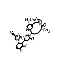 C[C@@H]1CCC[C@H](n2cnc(-c3c(-n4cc(C#N)nn4)ccc(Cl)c3F)cc2=O)c2cc(ccn2)-c2c(cnn2C)NC1=O